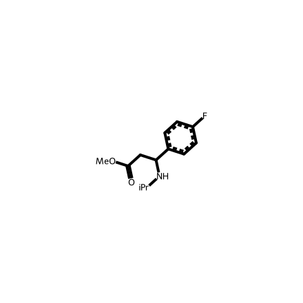 COC(=O)CC(NC(C)C)c1ccc(F)cc1